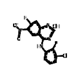 Cl.O=[N+]([O-])c1cc2c(Nc3cccc(Cl)c3F)ncnc2cc1F